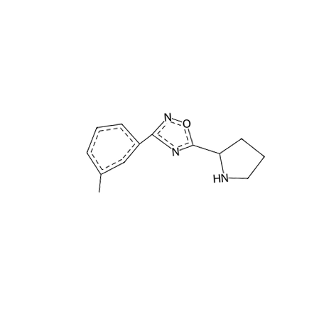 Cc1cccc(-c2noc(C3CCCN3)n2)c1